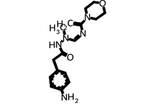 C=C(/N=C\N(C)NC(=O)Cc1ccc(N)cc1)N1CCOCC1